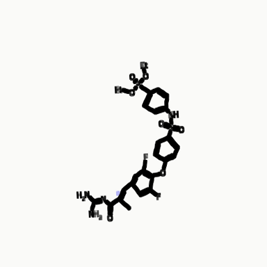 CCOP(=O)(OCC)c1ccc(NS(=O)(=O)c2ccc(Oc3c(F)cc(/C=C(\C)C(=O)N=C(N)N)cc3F)cc2)cc1